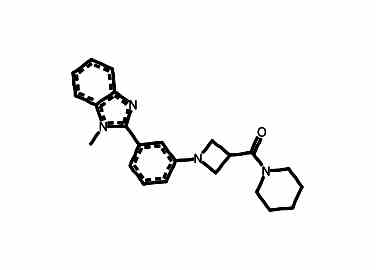 Cn1c(-c2cccc(N3CC(C(=O)N4CCCCC4)C3)c2)nc2ccccc21